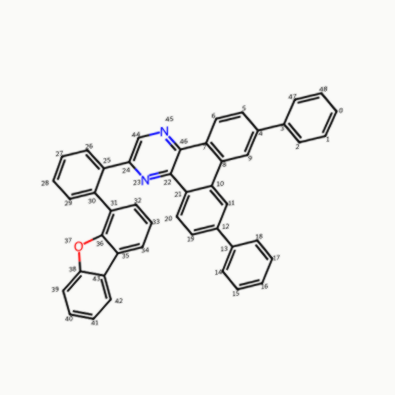 c1ccc(-c2ccc3c(c2)c2cc(-c4ccccc4)ccc2c2nc(-c4ccccc4-c4cccc5c4oc4ccccc45)cnc32)cc1